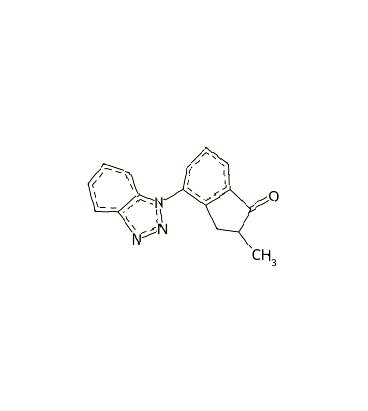 CC1Cc2c(cccc2-n2nnc3ccccc32)C1=O